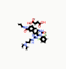 CCCNC(=O)c1ccc(C)c(-c2nc(NCCCN(CC)CC)nc3c2CNC(=O)N3c2c(F)cccc2F)c1.O=C(O)C=CC(=O)O